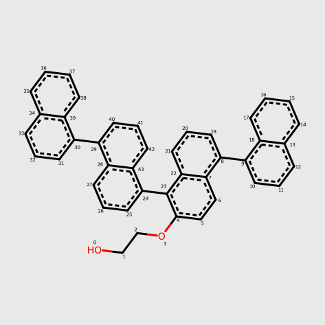 OCCOc1ccc2c(-c3cccc4ccccc34)cccc2c1-c1cccc2c(-c3cccc4ccccc34)cccc12